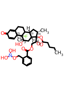 CCCCC(=O)O[C@]1(C(=O)COC(=O)c2ccccc2CON(O)O)[C@@H](C)C[C@H]2C3CCC4=CC(=O)C=C[C@]4(C)[C@@]3(F)[C@@H](O)C[C@@]21C